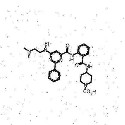 CCN(CCN(C)C)c1cc(C(=O)Nc2ccccc2C(=O)NC2CCN(C(=O)O)CC2)nc(-c2ccccc2)n1